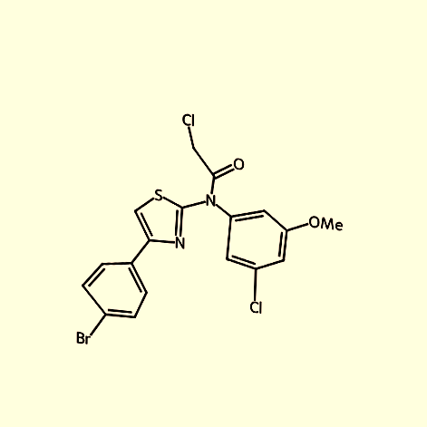 COc1cc(Cl)cc(N(C(=O)CCl)c2nc(-c3ccc(Br)cc3)cs2)c1